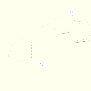 Nc1ccccc1SOS(=O)(=O)Sc1ccccc1N